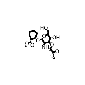 COC(=O)COC1C(N)[C@H](O[C@H]2CCCC[C@@H]2C(=O)OC)OC(CO)[C@H]1O